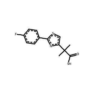 CC(C)(C(=O)S)c1csc(-c2ccc(F)cc2)n1